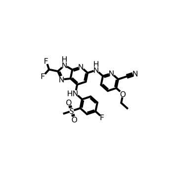 CCOc1ccc(Nc2cc(Nc3ccc(F)cc3S(C)(=O)=O)c3nc(C(F)F)[nH]c3n2)nc1C#N